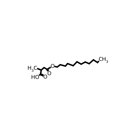 CCCCCCCCCCCCOC(=O)CC(C)C(=O)O